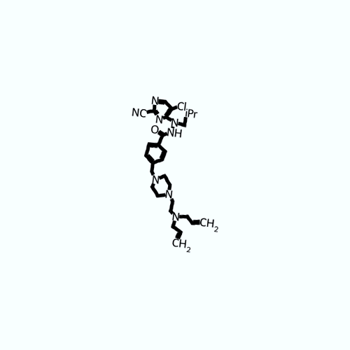 C=CCN(CC=C)CCN1CCN(Cc2ccc(C(=O)NN(CC(C)C)c3nc(C#N)ncc3Cl)cc2)CC1